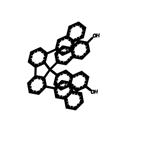 Oc1ccc2cc(C3(c4ccc5cc(O)ccc5c4)c4c(-c5ccc6ccccc6c5)cccc4-c4cccc(-c5ccc6ccccc6c5)c43)ccc2c1